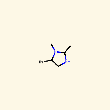 CC(C)C1CNC(C)N1C